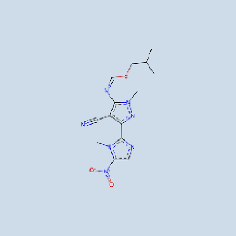 CC(C)CO/C=N\c1c(C#N)c(-c2ncc([N+](=O)[O-])n2C)nn1C